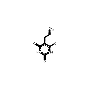 C=CCc1c(Cl)[nH]c(=O)[nH]c1=O